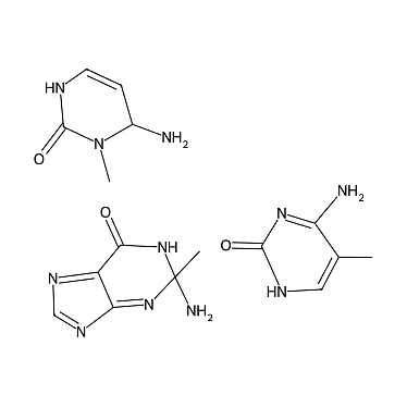 CC1(N)N=C2N=CN=C2C(=O)N1.CN1C(=O)NC=CC1N.Cc1c[nH]c(=O)nc1N